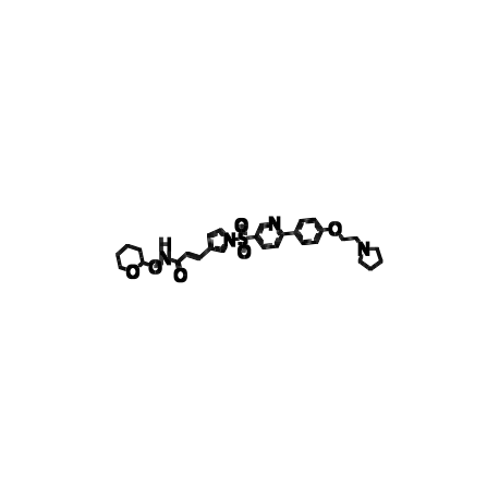 O=C(C=Cc1ccn(S(=O)(=O)c2ccc(-c3ccc(OCCN4CCCC4)cc3)nc2)c1)NOC1CCCCO1